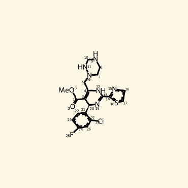 COC(=O)C1=C(CN2CCNCN2)NC(c2nccs2)=N[C@H]1c1ccc(F)cc1Cl